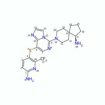 Nc1ccc(Sc2cnc(N3CCC4(CCC[C@H]4N)CC3)n3ccnc23)c(C(F)(F)F)n1